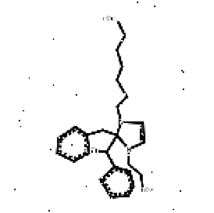 CCCCCCCCCCCCCCCCN1C=CN(CCCCCCCCCCCC)C1(Cc1ccccc1)C(CC)c1ccccc1